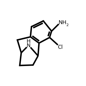 Nc1ccc2c(c1Cl)C1CCC(C2)N1